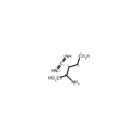 N=C=N.NC(CCC(=O)O)C(=O)O